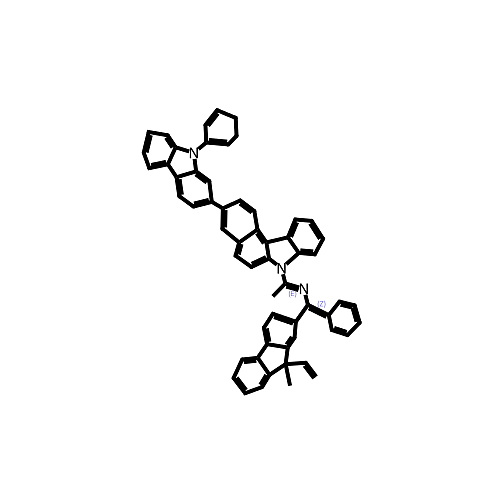 C=CC1(C)c2ccccc2-c2ccc(C(/N=C(\C)n3c4ccccc4c4c5ccc(-c6ccc7c8ccccc8n(C8=CCCC=C8)c7c6)cc5ccc43)=C3/C=C=CC=C3)cc21